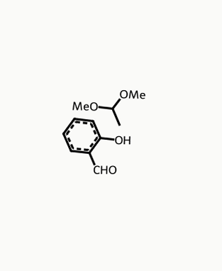 COC(C)OC.O=Cc1ccccc1O